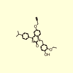 C#CCOc1ccc2c(c1)c(-c1ccc(C(C)C)cc1)nc(=O)n2Cc1ccc(O)c(OCC)c1